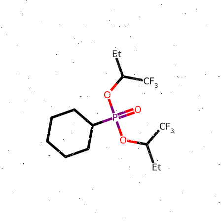 CCC(OP(=O)(OC(CC)C(F)(F)F)C1CCCCC1)C(F)(F)F